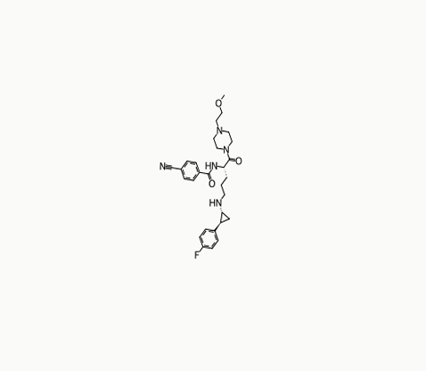 COCCN1CCN(C(=O)[C@H](CCCN[C@@H]2C[C@H]2c2ccc(F)cc2)NC(=O)c2ccc(C#N)cc2)CC1